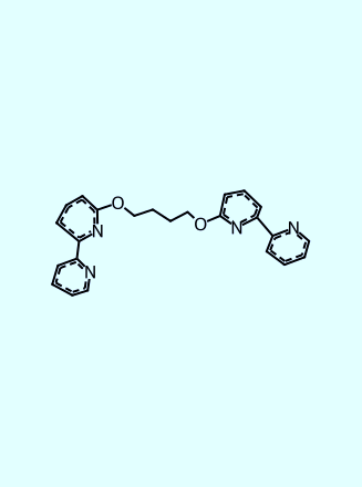 c1ccc(-c2cccc(OCCCCOc3cccc(-c4ccccn4)n3)n2)nc1